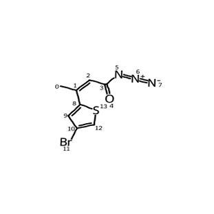 C/C(=C/C(=O)N=[N+]=[N-])c1cc(Br)cs1